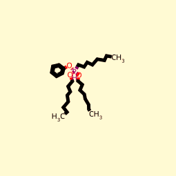 CCCCCCCCO[PH](CCCCCCCC)(OCCCCCCCC)Oc1ccccc1